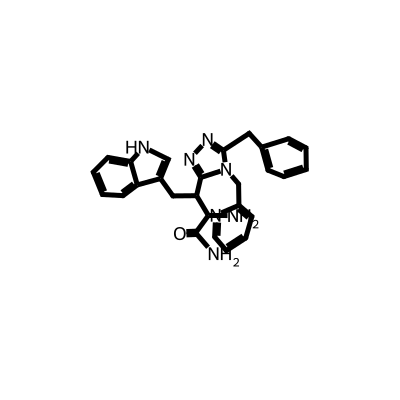 NC(=O)C(N)C(Cc1c[nH]c2ccccc12)c1nnc(Cc2ccccc2)n1Cc1ccccn1